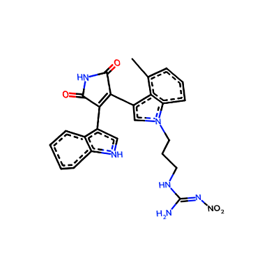 Cc1cccc2c1c(C1=C(c3c[nH]c4ccccc34)C(=O)NC1=O)cn2CCCNC(N)=N[N+](=O)[O-]